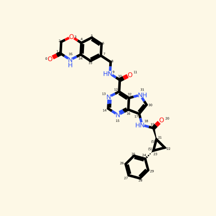 O=C1COc2ccc(CNC(=O)c3ncnc4c(NC(=O)[C@H]5C[C@@H]5c5ccccc5)c[nH]c34)cc2N1